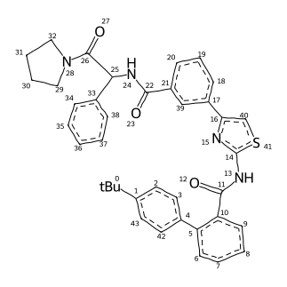 CC(C)(C)c1ccc(-c2ccccc2C(=O)Nc2nc(-c3cccc(C(=O)NC(C(=O)N4CCCC4)c4ccccc4)c3)cs2)cc1